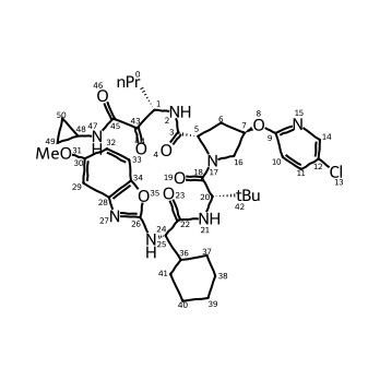 CCC[C@H](NC(=O)[C@@H]1C[C@@H](Oc2ccc(Cl)cn2)CN1C(=O)[C@@H](NC(=O)[C@@H](Nc1nc2cc(OC)ccc2o1)C1CCCCC1)C(C)(C)C)C(=O)C(=O)NC1CC1